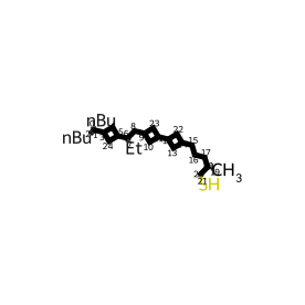 CCCCC(CCCC)C1CC(C(CC)CC2CC(C3CC(CCC[C@H](C)CS)C3)C2)C1